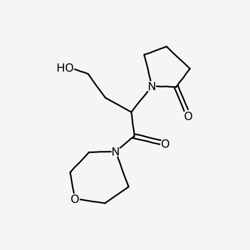 O=C(C(CCO)N1CCCC1=O)N1CCOCC1